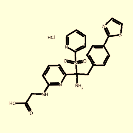 Cl.NC(Cc1ccc(-c2nccs2)cc1)(c1cccc(NCC(=O)O)n1)S(=O)(=O)c1ccccn1